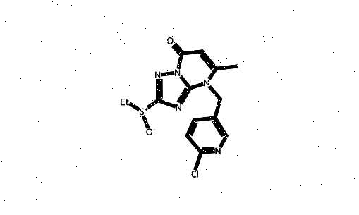 CC[S+]([O-])c1nc2n(Cc3ccc(Cl)nc3)c(C)cc(=O)n2n1